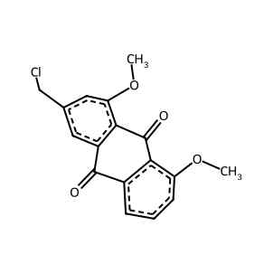 COc1cccc2c1C(=O)c1c(OC)cc(CCl)cc1C2=O